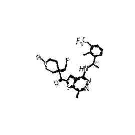 Cc1c([C@@H](C)Nc2nnc(C)c3sc(C(=O)C4(CF)CCN(C(C)C)CC4)cc23)cccc1C(F)(F)F